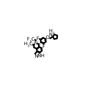 C[C@@H]1Cc2c(ccc3[nH]ncc23)[C@@H](c2c(F)cc(OCC3(N)CCCC3)cc2F)N1CC(F)(F)F